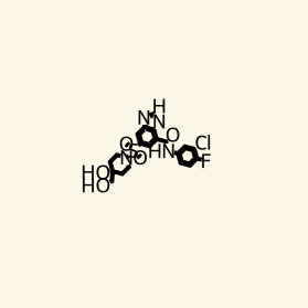 O=C(Nc1ccc(F)c(Cl)c1)c1cc(S(=O)(=O)N2CCC(O)(CO)CC2)cc2nc[nH]c12